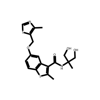 Cc1ncsc1COc1ccc2sc(C)c(C(=O)NC(C)(CO)CO)c2c1